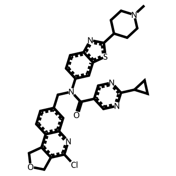 CN1CCC(c2nc3ccc(N(Cc4ccc5c6c(c(Cl)nc5c4)COC6)C(=O)c4cnc(C5CC5)nc4)cc3s2)CC1